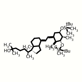 C=C1/C(=C\C=C2CCC[C@@]3(C)C2CC[C@@H]3[C@@H](C)CCCC(C)(C)O)C[C@@H](O[Si](C)(C)C(C)(C)C)[C@@H](C)[C@@H]1O[Si](C)(C)C(C)(C)C